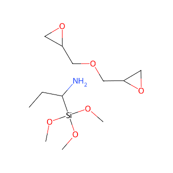 C(OCC1CO1)C1CO1.CCC(N)[Si](OC)(OC)OC